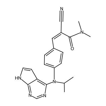 CC(C)N(c1ccc(C=C(C#N)C(=O)N(C)C)cc1)c1ncnc2[nH]ccc12